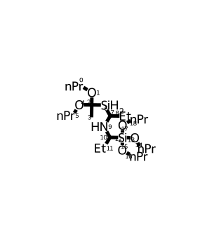 CCCOC(C)(OCCC)[SiH2]C(CC)NC(CC)[Si](OCCC)(OCCC)OCCC